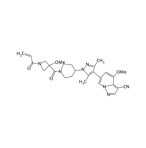 C=CC(=O)N1CC(OC)(C(=O)N2CCC(n3nc(C)c(-c4cc(OC)c5c(C#N)cnn5c4)c3C)CC2)C1